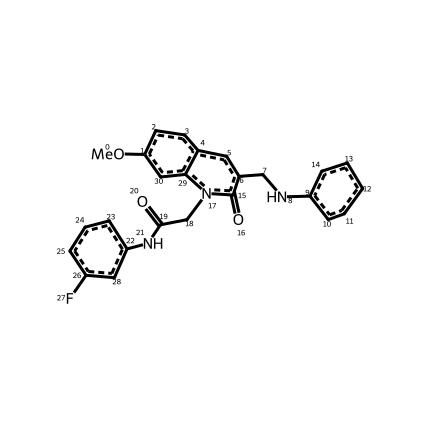 COc1ccc2cc(CNc3ccccc3)c(=O)n(CC(=O)Nc3cccc(F)c3)c2c1